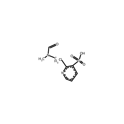 CN(C)C=O.O=S(=O)(O)c1cccnc1Cl